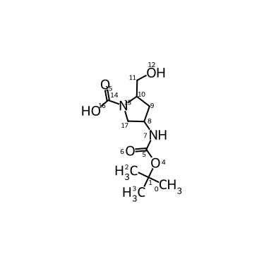 CC(C)(C)OC(=O)NC1CC(CO)N(C(=O)O)C1